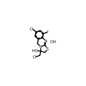 Cl.OC1(CCl)CSC2=Nc3c(F)cc(Cl)cc3CN21